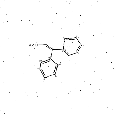 CC(=O)OC=C(c1ccccc1)c1ccccc1